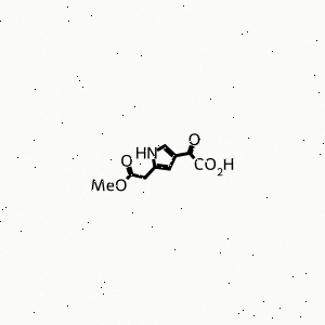 COC(=O)Cc1cc(C(=O)C(=O)O)c[nH]1